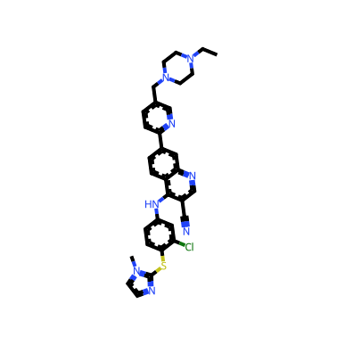 CCN1CCN(Cc2ccc(-c3ccc4c(Nc5ccc(Sc6nccn6C)c(Cl)c5)c(C#N)cnc4c3)nc2)CC1